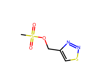 CS(=O)(=O)OCc1csnn1